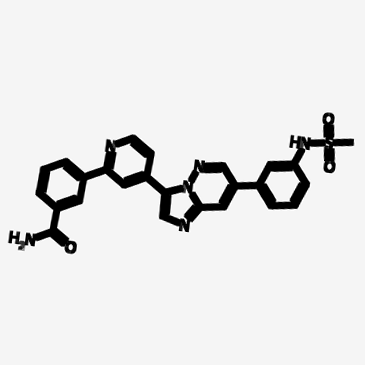 CS(=O)(=O)Nc1cccc(-c2cnn3c(-c4ccnc(-c5cccc(C(N)=O)c5)c4)cnc3c2)c1